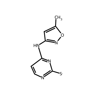 Cc1cc(Nc2ccnc([S])n2)no1